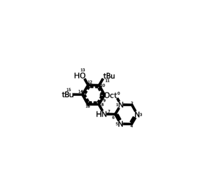 CCCCCCCCN1CN=CN=C1Nc1cc(C(C)(C)C)c(O)c(C(C)(C)C)c1